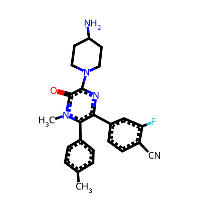 Cc1ccc(-c2c(-c3ccc(C#N)c(F)c3)nc(N3CCC(N)CC3)c(=O)n2C)cc1